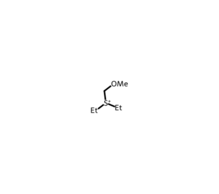 CC[S+](CC)COC